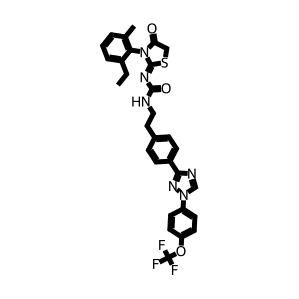 CCc1cccc(C)c1N1C(=O)CS/C1=N\C(=O)NCCc1ccc(-c2ncn(-c3ccc(OC(F)(F)F)cc3)n2)cc1